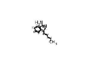 CCCCCN1C=NC(N)c2ccccc21